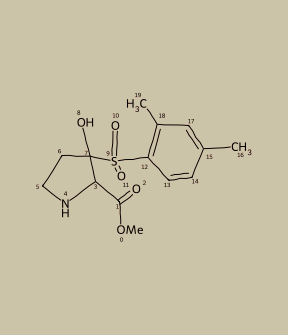 COC(=O)C1NCCC1(O)S(=O)(=O)c1ccc(C)cc1C